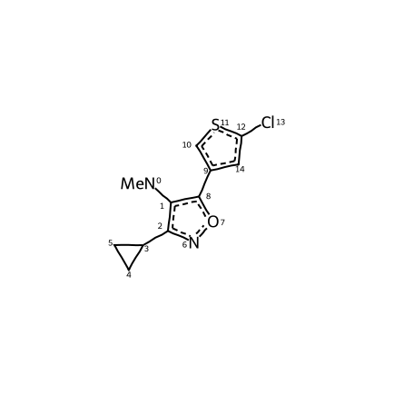 CNc1c(C2CC2)noc1-c1csc(Cl)c1